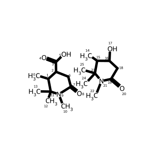 CC1C(C(=O)O)CC(=O)N(C)C1(C)C.CC1C(O)CC(=O)N(C)C1(C)C